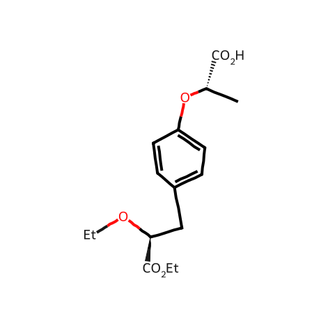 CCOC(=O)[C@H](Cc1ccc(O[C@@H](C)C(=O)O)cc1)OCC